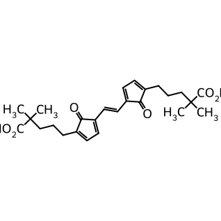 CC(C)(CCCC1=CC=C(C=CC2=CC=C(CCCC(C)(C)C(=O)O)C2=O)C1=O)C(=O)O